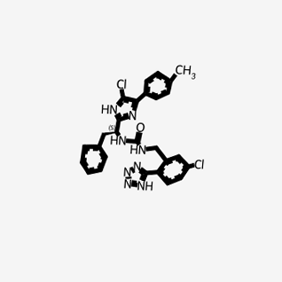 Cc1ccc(-c2nc([C@H](Cc3ccccc3)NC(=O)NCc3cc(Cl)ccc3-c3nnn[nH]3)[nH]c2Cl)cc1